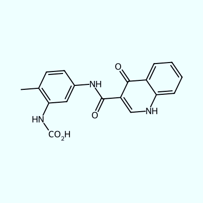 Cc1ccc(NC(=O)c2c[nH]c3ccccc3c2=O)cc1NC(=O)O